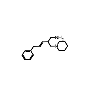 NCC(/C=C/Cc1ccccc1)CN1CCCCC1